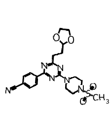 CS(=O)(=O)N1CCN(c2nc(CCC3OCCO3)nc(-c3ccc(C#N)cc3)n2)CC1